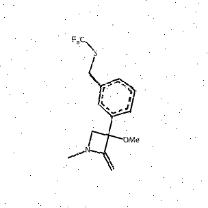 C=C1N(C)CC1(OC)c1cccc(CSC(F)(F)F)c1